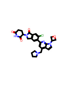 O=C1CCC(N2Cc3cc(-c4cc(CN5CCCC5)c5ccn(C6COC6)c5n4)c(Cl)cc3C2=O)C(=O)N1